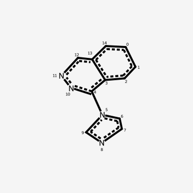 c1ccc2c(-n3ccnc3)nncc2c1